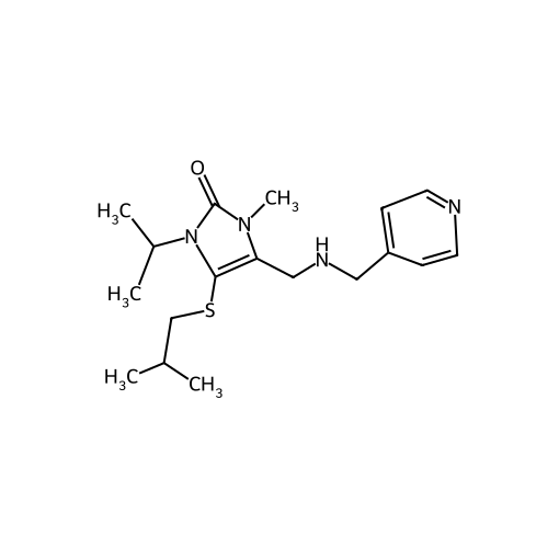 CC(C)CSc1c(CNCc2ccncc2)n(C)c(=O)n1C(C)C